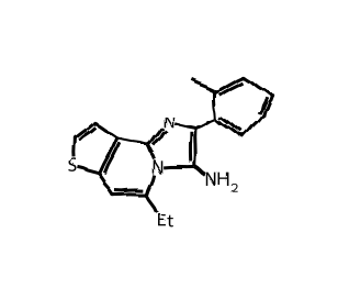 CCc1cc2sccc2c2nc(-c3ccccc3C)c(N)n12